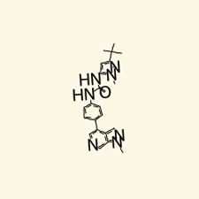 Cn1nc(C(C)(C)C)cc1NC(=O)Nc1ccc(-c2cncc3c2cnn3C)cc1